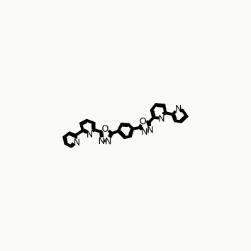 c1ccc(-c2cccc(-c3nnc(-c4ccc(-c5nnc(-c6cccc(-c7ccccn7)n6)o5)cc4)o3)n2)nc1